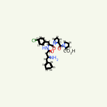 NC(CC(=O)NC(Cc1ccc(Cl)cc1)C(=O)N1CCCC1C(=O)N1CCCC1C(=O)O)Cc1ccccc1